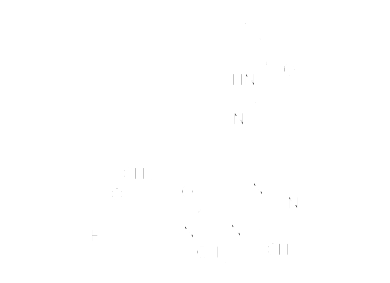 COc1cc(N(C)C(=O)c2cn3c(-c4ccc(NC(=O)C5CC5)nc4)cnc3c(C)n2)ccc1F